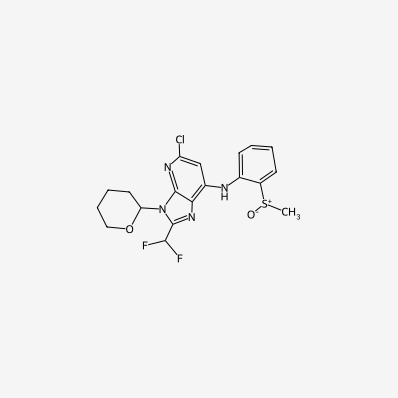 C[S+]([O-])c1ccccc1Nc1cc(Cl)nc2c1nc(C(F)F)n2C1CCCCO1